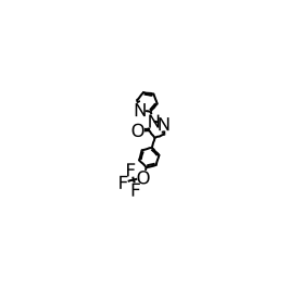 O=C1C(c2ccc(OC(F)(F)F)cc2)C=NN1c1ccccn1